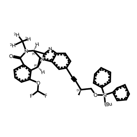 [2H]C([2H])([2H])N1C(=O)c2cccc(OC(F)F)c2[C@H]2C[C@@H]1c1nc3ccc(C#C[C@H](C)CO[Si](c4ccccc4)(c4ccccc4)C(C)(C)C)cc3n12